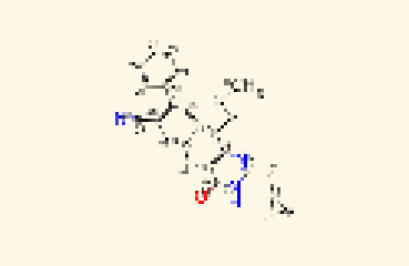 CCCCc1nc(CC2CC2)[nH]c(=O)c1Cc1ccc(-c2ccccc2)c(C#N)c1